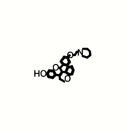 Oc1ccc2c(c1)OC(c1ccc(OCCN3CCCCCC3)cc1)C1=C2CCOc2ccccc21